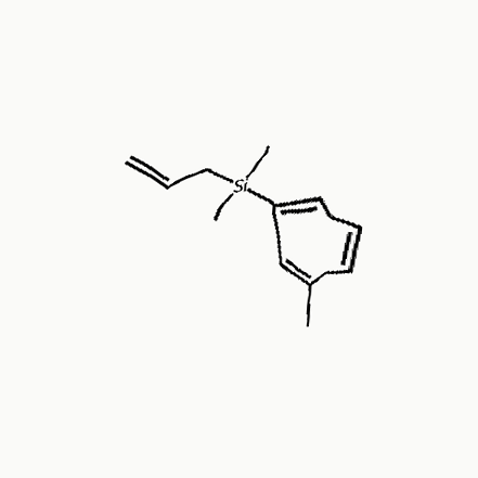 C=CC[Si](C)(C)c1cccc(C)c1